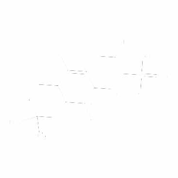 CCCCCCCCCC1(C)CCc2c(C)c(OC(CC)CP(=O)(O)O)c(C)c(C)c2O1